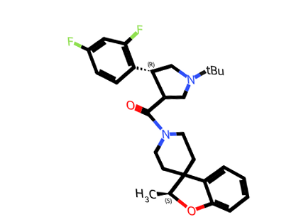 C[C@@H]1Oc2ccccc2C12CCN(C(=O)C1CN(C(C)(C)C)C[C@H]1c1ccc(F)cc1F)CC2